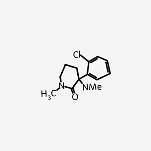 CNC1(c2ccccc2Cl)CCCN(C)C1=O